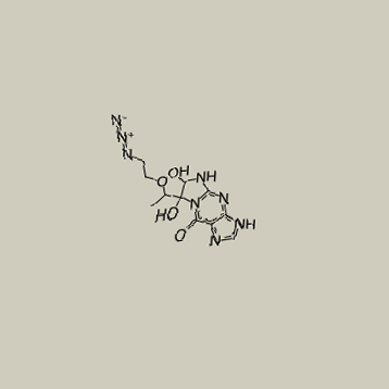 CC(OCCN=[N+]=[N-])C1(O)C(O)Nc2nc3[nH]cnc3c(=O)n21